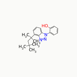 CC(C)(C)CC(C)(C)c1cccc2c1nnn2-c1ccccc1O